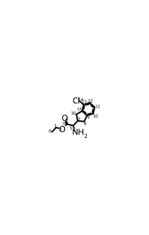 CCOC(=O)C(N)C1Cc2cccc(Cl)c2C1